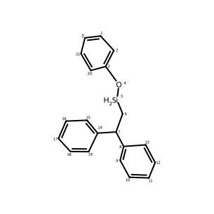 [c]1ccc(O[SiH2]CC(c2ccccc2)c2ccccc2)cc1